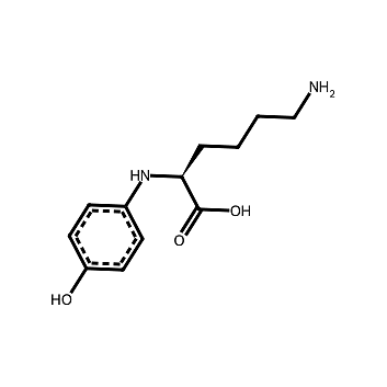 NCCCC[C@H](Nc1ccc(O)cc1)C(=O)O